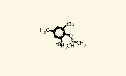 Cc1cc(C(C)(C)C)c(O[SiH](C)C)c(C(C)(C)C)c1